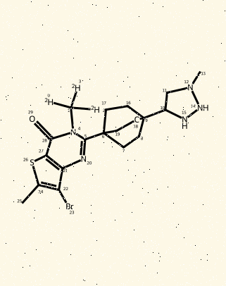 [2H]C([2H])([2H])n1c(C23CCC(C4CN(C)NN4)(CC2)CC3)nc2c(Br)c(C)sc2c1=O